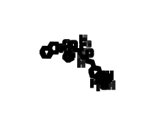 CC(NC(=O)/C=C/c1ccc(C(F)(F)P(=O)(O)O)cc1)C(=O)N1CCC[C@H]1C(=O)N1CCc2ccccc2C1